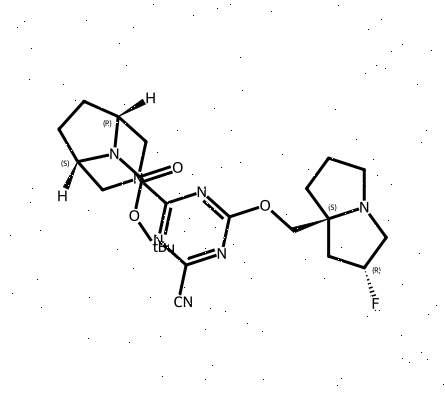 CC(C)(C)OC(=O)N1[C@@H]2CC[C@H]1CN(c1nc(C#N)nc(OC[C@@]34CCCN3C[C@H](F)C4)n1)C2